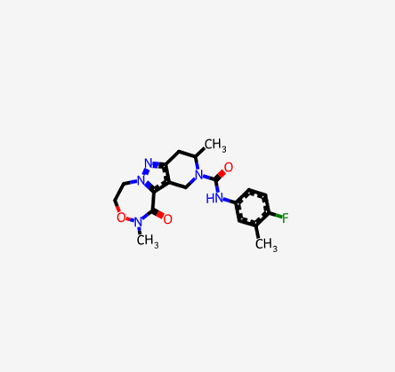 Cc1cc(NC(=O)N2Cc3c(nn4c3C(=O)N(C)OCC4)CC2C)ccc1F